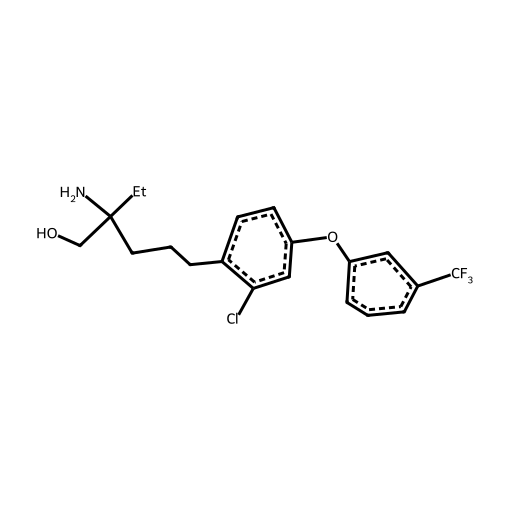 CCC(N)(CO)CCCc1ccc(Oc2cccc(C(F)(F)F)c2)cc1Cl